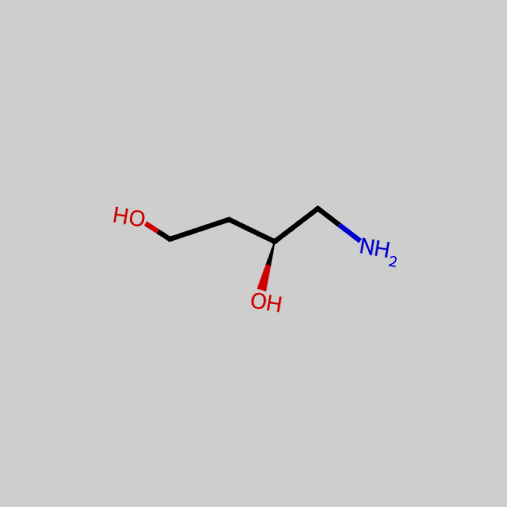 NC[C@@H](O)CCO